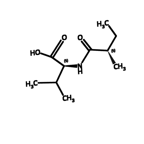 CC[C@H](C)C(=O)N[C@H](C(=O)O)C(C)C